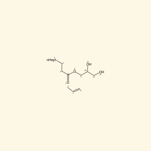 C=CC.CCCCCCCCCC(=O)OCC(O)CO